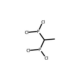 CC(P(Cl)Cl)P(Cl)Cl